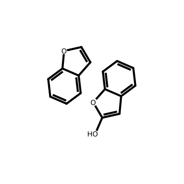 Oc1cc2ccccc2o1.c1ccc2occc2c1